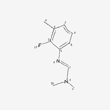 Cc1cccc(/N=C/N(C)C)c1F